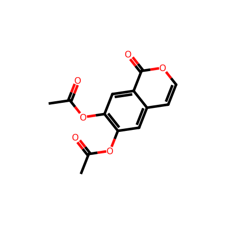 CC(=O)Oc1cc2ccoc(=O)c2cc1OC(C)=O